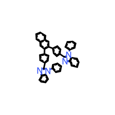 c1ccc(-n2c(-c3ccc(-c4cc5ccccc5cc4-c4ccc(-c5nc6ccccc6n5-c5ccccc5)cc4)cc3)nc3ccccc32)cc1